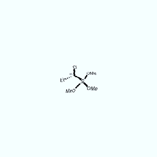 CC[C@H](Cl)[Si](OC)(OC)OC